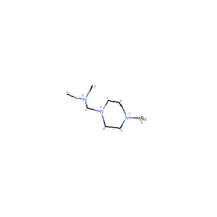 CN(C)CN1CCN(C(C)(C)C)CC1